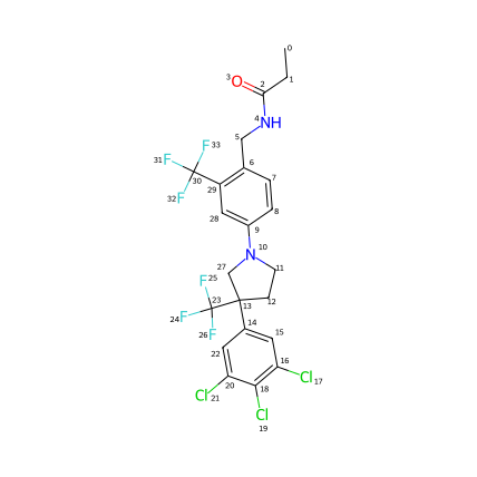 CCC(=O)NCc1ccc(N2CCC(c3cc(Cl)c(Cl)c(Cl)c3)(C(F)(F)F)C2)cc1C(F)(F)F